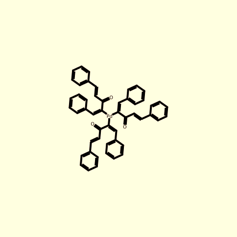 O=C(C=Cc1ccccc1)[C](=Cc1ccccc1)[Pd]([C](=Cc1ccccc1)C(=O)C=Cc1ccccc1)[C](=Cc1ccccc1)C(=O)C=Cc1ccccc1